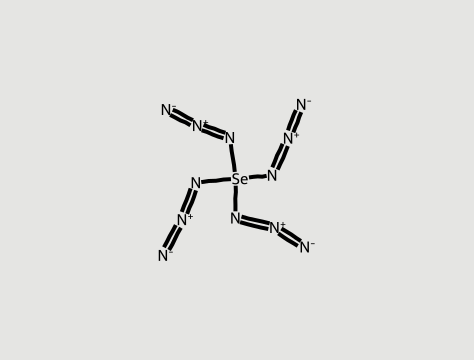 [N-]=[N+]=N[Se](N=[N+]=[N-])(N=[N+]=[N-])N=[N+]=[N-]